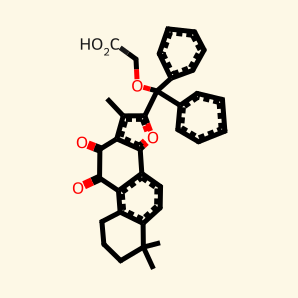 Cc1c(C(OCC(=O)O)(c2ccccc2)c2ccccc2)oc2c1C(=O)C(=O)c1c-2ccc2c1CCCC2(C)C